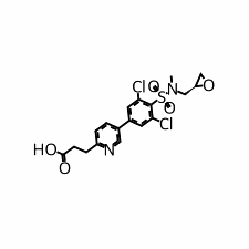 CN(C[C@H]1CO1)S(=O)(=O)c1c(Cl)cc(-c2ccc(CCC(=O)O)nc2)cc1Cl